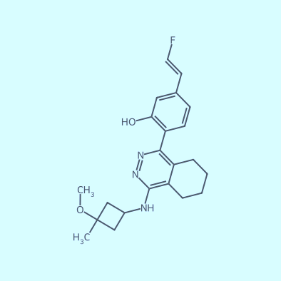 COC1(C)CC(Nc2nnc(-c3ccc(/C=C/F)cc3O)c3c2CCCC3)C1